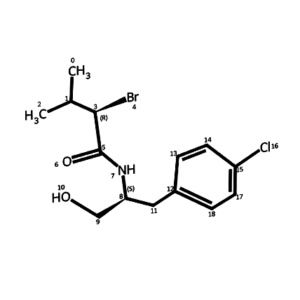 CC(C)[C@@H](Br)C(=O)N[C@H](CO)Cc1ccc(Cl)cc1